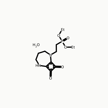 CCOP(=O)(CCN1CCCNc2c1c(=O)c2=O)OCC.O